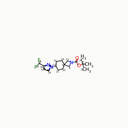 CC(C)(C)OC(=O)N1CC2(CCC(n3ccc(C(F)F)n3)CC2)C1